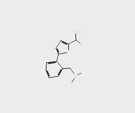 CN(C)Cc1ccccc1-c1ccc(C(N)N)s1